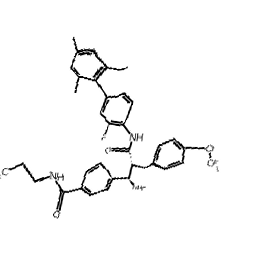 CCC[C@@H](c1ccc(C(=O)NCCC(=O)O)cc1)[C@H](C(=O)Nc1ccc(-c2c(C)cc(C)cc2C)cc1F)c1ccc(OC(F)(F)F)cc1